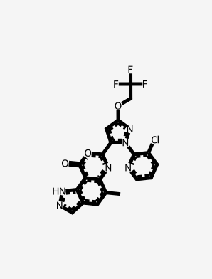 Cc1cc2cn[nH]c2c2c(=O)oc(-c3cc(OCC(F)(F)F)nn3-c3ncccc3Cl)nc12